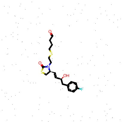 O=CCCCSCCN1C(=O)SC[C@@H]1/C=C/[C@@H](O)Cc1ccc(F)cc1